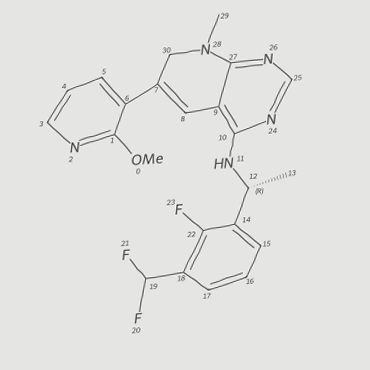 COc1ncccc1C1=Cc2c(N[C@H](C)c3cccc(C(F)F)c3F)ncnc2N(C)C1